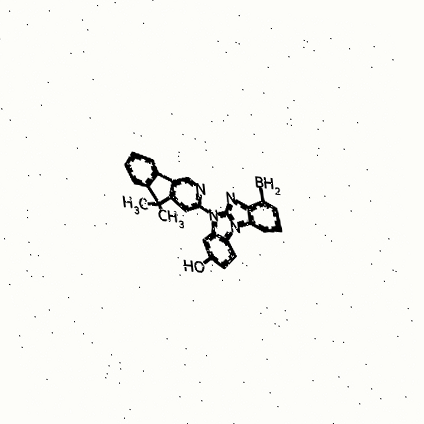 Bc1cccc2c1nc1n(-c3cc4c(cn3)-c3ccccc3C4(C)C)c3cc(O)ccc3n21